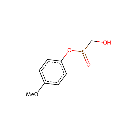 COc1ccc(OS(=O)CO)cc1